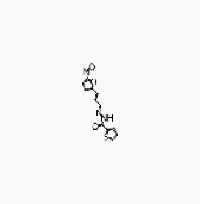 O=Nc1ccc(/C=C/C=N/NC(=O)c2cccs2)o1